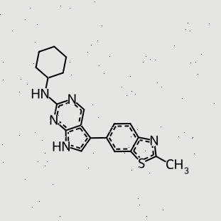 Cc1nc2ccc(-c3c[nH]c4nc(NC5CCCCC5)ncc34)cc2s1